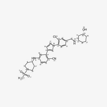 CS(=O)(=O)N1CCC(Nc2ncc(C#N)c(-c3cnn(-c4ccc(CN[C@H]5CCC[C@@H](O)C5)cc4Cl)c3)n2)CC1